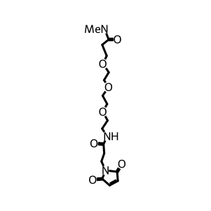 CNC(=O)CCOCCOCCOCCNC(=O)CCN1C(=O)C=CC1=O